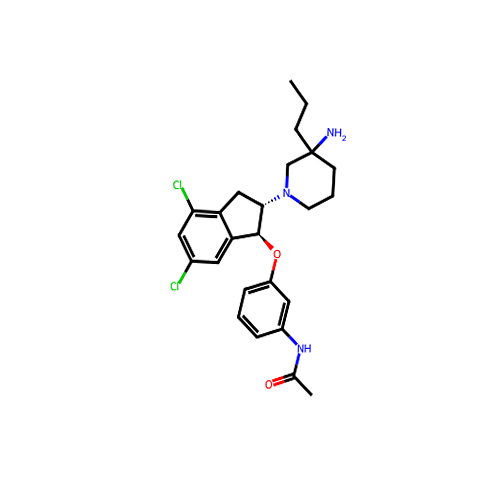 CCCC1(N)CCCN([C@H]2Cc3c(Cl)cc(Cl)cc3[C@@H]2Oc2cccc(NC(C)=O)c2)C1